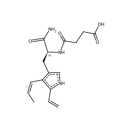 C=Cc1[nH]cc(C[C@H](NC(=O)CCC(=O)O)C(N)=O)c1/C=C\C